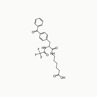 O=C(O)CCCCCNC(=O)C(Cc1ccc(C(=O)c2ccccc2)cc1)NC(=O)C(F)(F)F